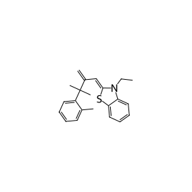 C=C(/C=C1\Sc2ccccc2N1CC)C(C)(C)c1ccccc1C